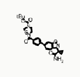 CC(C)(C)OC(=O)N1CCN(C(=O)c2ccc(-c3ccc4c(C5(C(N)=O)CC5)noc4c3)cc2)CC1